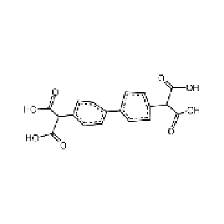 O=C(O)C(C(=O)O)c1ccc(-c2ccc(C(C(=O)O)C(=O)O)cc2)cc1